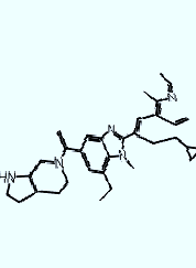 C=CC(/C=C(\CCC1CC1)c1nc2cc(C(=C)N3CCC4CCNC4C3)cc(CC)c2n1C)=C(C)\N=C/C